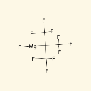 [F][Mg][C](C(F)(F)F)(C(F)(F)F)C(F)(F)F